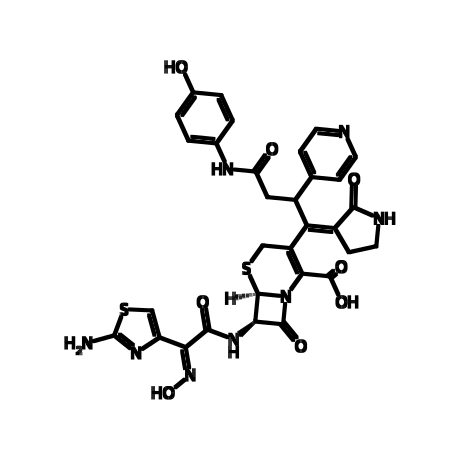 Nc1nc(C(=NO)C(=O)N[C@@H]2C(=O)N3C(C(=O)O)=C(C(=C4CCNC4=O)C(CC(=O)Nc4ccc(O)cc4)c4ccncc4)CS[C@H]23)cs1